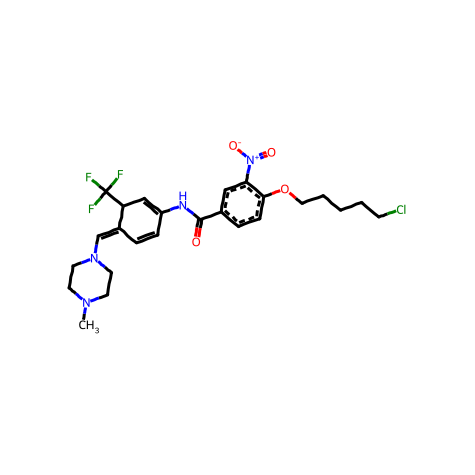 CN1CCN(C=C2C=CC(NC(=O)c3ccc(OCCCCCCl)c([N+](=O)[O-])c3)=CC2C(F)(F)F)CC1